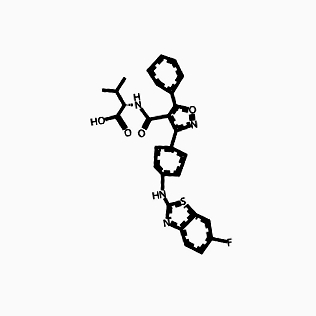 CC(C)[C@H](NC(=O)c1c(-c2ccc(Nc3nc4ccc(F)cc4s3)cc2)noc1-c1ccccc1)C(=O)O